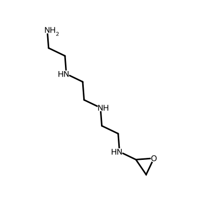 NCCNCCNCCNC1CO1